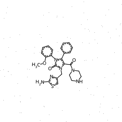 COc1ccccc1-n1c(-c2ccccc2)c(C(=O)N2CCNCC2)n(Cc2csc(N)n2)c1=O